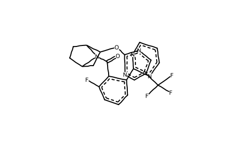 O=C(c1c(F)cccc1-c1ncccn1)N1C2CCC1C(Oc1ncc(C(F)(F)F)cn1)C2